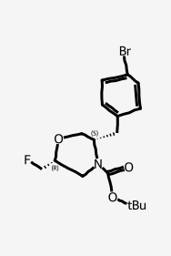 CC(C)(C)OC(=O)N1C[C@H](CF)OC[C@@H]1Cc1ccc(Br)cc1